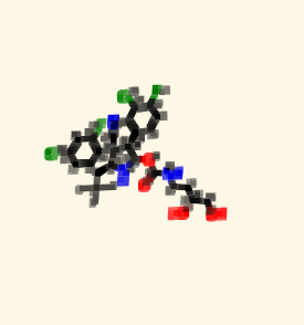 CC(C)(C)C[C@@H]1N[C@H](OC(=O)NCC[C@@H](O)CO)[C@H](c2ccc(F)c(Cl)c2)[C@@]1(C#N)c1ccc(Cl)cc1F